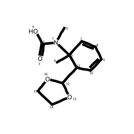 CN(C(=O)O)C1(C)C=CC=CC1C1OCCO1